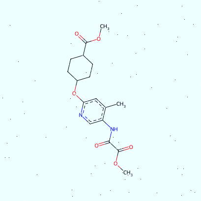 COC(=O)C(=O)Nc1cnc(OC2CCC(C(=O)OC)CC2)cc1C